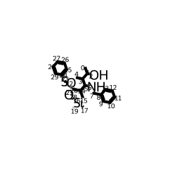 CC(O)C(C)C(NCc1ccccc1)C(C[Si](C)(C)C)C(=O)OSc1ccccc1